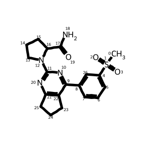 CS(=O)(=O)c1cccc(-c2nc(N3CCCC3C(N)=O)nc3c2CCC3)c1